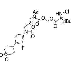 CC[C@H](C)[C@H](NCl)C(=O)OCOC(=O)N(C[C@H]1CN(c2ccc(C3CCS(=O)(=O)CC3)c(F)c2)C(=O)O1)C(C)=O